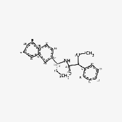 CC[C@@H](NC(=O)C(OC)c1ccccc1)c1ccc2ccccc2c1